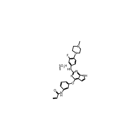 C=CC(=O)Nc1cccc(Oc2nc(Nc3ccc(N4CCN(C)CC4)c(F)c3)nc3[nH]ccc23)c1.CS(=O)(=O)O